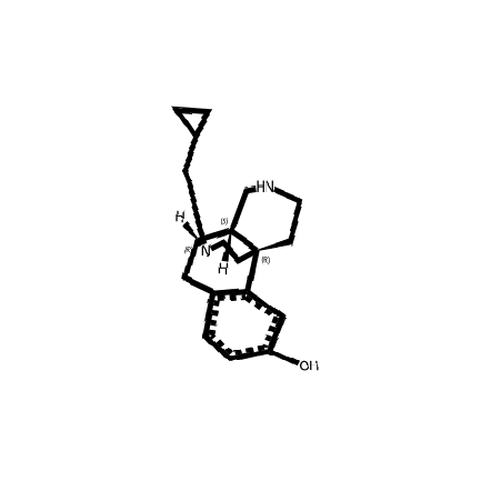 Oc1ccc2c(c1)[C@@]13CCNC[C@H]1[C@@H](C2)N(CC1CC1)CC3